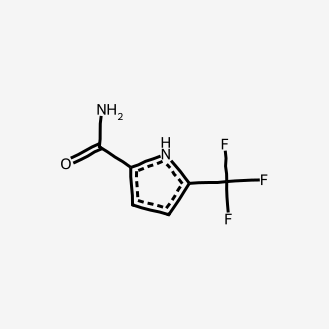 NC(=O)c1ccc(C(F)(F)F)[nH]1